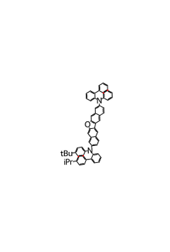 CC(C)c1ccc(-c2ccccc2N(c2ccc(C(C)(C)C)cc2)c2ccc3cc4c(cc3c2)oc2cc3cc(N(c5ccccc5)c5ccccc5-c5ccccc5)ccc3cc24)cc1